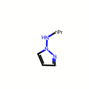 CCCNn1cc[c]n1